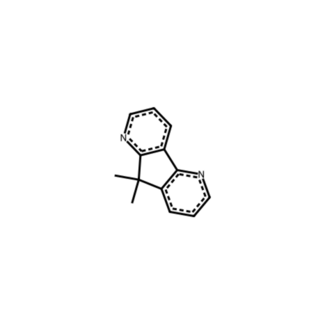 CC1(C)c2cccnc2-c2cccnc21